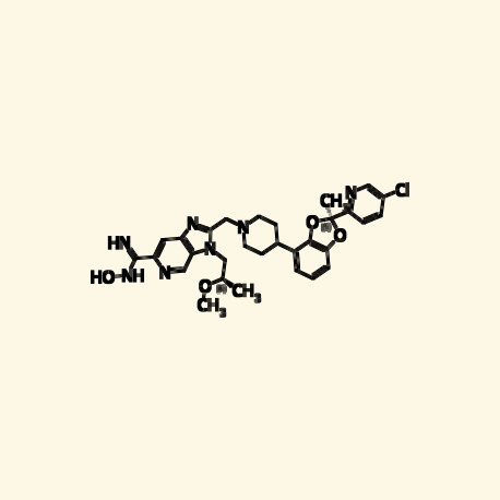 CO[C@H](C)Cn1c(CN2CCC(c3cccc4c3O[C@@](C)(c3ccc(Cl)cn3)O4)CC2)nc2cc(C(=N)NO)ncc21